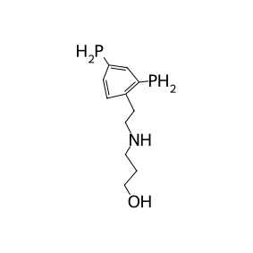 OCCCNCCc1ccc(P)cc1P